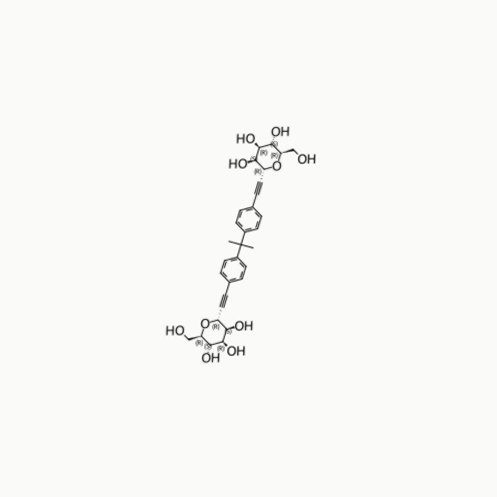 CC(C)(c1ccc(C#C[C@H]2O[C@H](CO)[C@@H](O)[C@H](O)[C@@H]2O)cc1)c1ccc(C#C[C@H]2O[C@H](CO)[C@@H](O)[C@H](O)[C@@H]2O)cc1